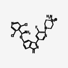 N[C@@H](Oc1ccc2[nH]nc(-c3cnc(N4CC[SH](N)(=O)CC4)c(F)c3)c2c1)c1c(Cl)cncc1Cl